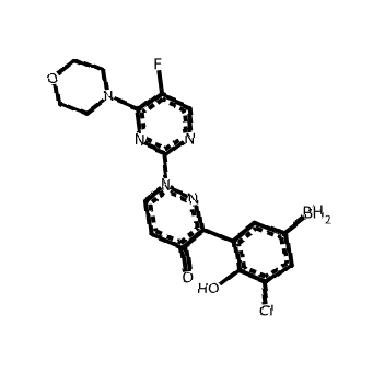 Bc1cc(Cl)c(O)c(-c2nn(-c3ncc(F)c(N4CCOCC4)n3)ccc2=O)c1